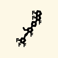 CCc1cc(-c2ccc(-c3c(F)cc4cccc(F)c4c3F)cc2)cc(F)c1C#Cc1cc(F)c(F)c(F)c1